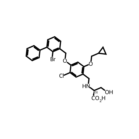 O=C(O)[C@H](CO)NCc1cc(Cl)c(OCc2cccc(-c3ccccc3)c2Br)cc1OCC1CC1